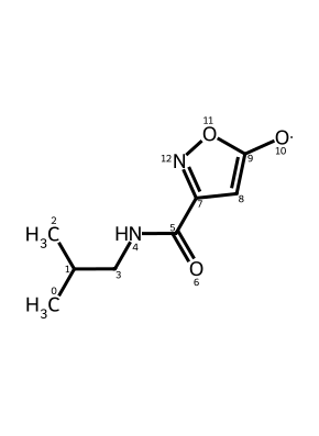 CC(C)CNC(=O)c1cc([O])on1